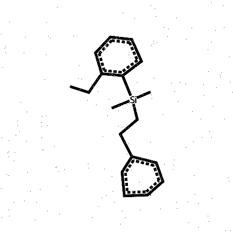 CCc1ccccc1[Si](C)(C)CCc1cc[c]cc1